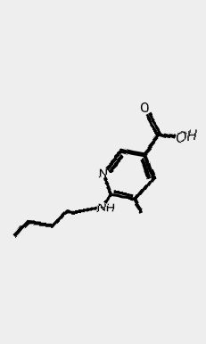 CCCCNc1ncc(C(=O)O)cc1C